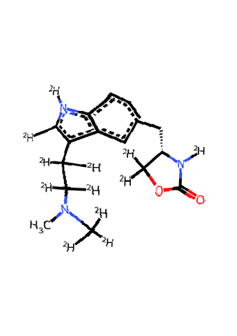 [2H]c1c(C([2H])([2H])C([2H])([2H])N(C)C([2H])([2H])[2H])c2cc(C[C@@H]3N([2H])C(=O)OC3([2H])[2H])ccc2n1[2H]